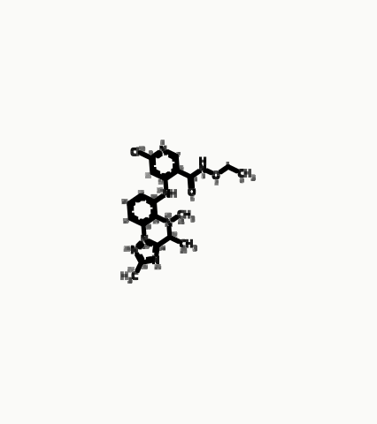 CCONC(=O)c1cnc(Cl)cc1Nc1cccc2c1N(C)C(C)c1nc(C)nn1-2